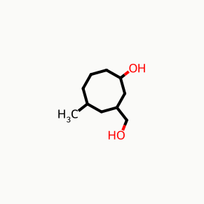 CC1CCCC(O)CC(CO)C1